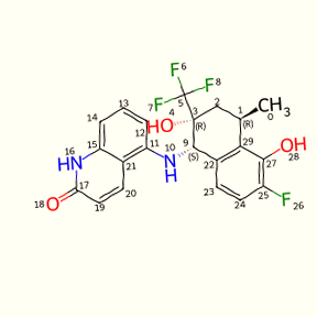 C[C@@H]1C[C@](O)(C(F)(F)F)[C@@H](Nc2cccc3[nH]c(=O)ccc23)c2ccc(F)c(O)c21